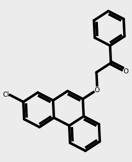 O=C(COc1cc2cc(Cl)ccc2c2ccccc12)c1ccccc1